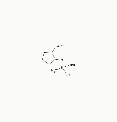 CCOC(=O)C1CCCC1O[Si](C)(C)C(C)(C)C